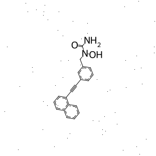 NC(=O)N(O)Cc1cccc(C#Cc2cccc3ccccc23)c1